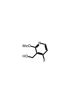 COc1nccc(F)c1CO